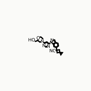 N#CC1(c2ccc3cnn(-c4cc(N5CCOC(CO)C5)ncn4)c3c2)CC2(CC2)C1